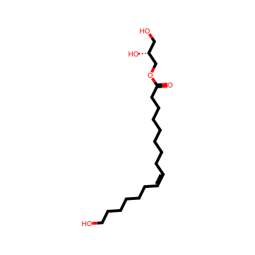 O=C(CCCCCCC/C=C\CCCCCCO)OC[C@H](O)CO